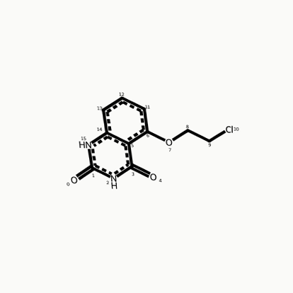 O=c1[nH]c(=O)c2c(OCCCl)cccc2[nH]1